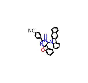 N#Cc1ccc(C2=Nc3oc4ccccc4c3C(n3c4ccccc4c4cc5ccccc5cc43)N2)cc1